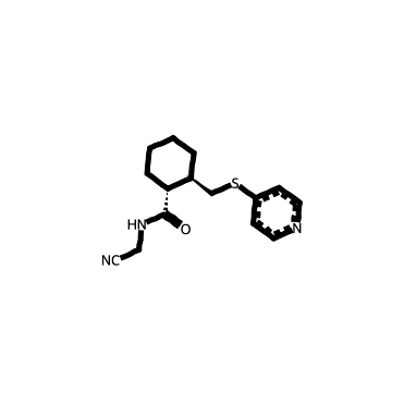 N#CCNC(=O)[C@@H]1CCCC[C@H]1CSc1ccncc1